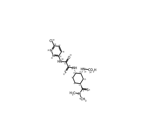 CN(C)C(=S)[C@H]1CC[C@H](NC(=S)C(=O)Nc2ccc(Cl)nn2)[C@H](NC(=O)O)C1